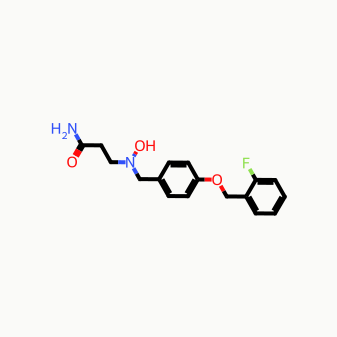 NC(=O)CCN(O)Cc1ccc(OCc2ccccc2F)cc1